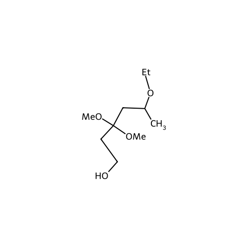 CCOC(C)CC(CCO)(OC)OC